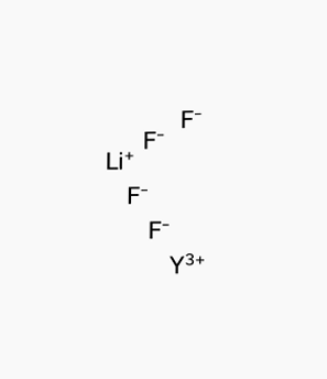 [F-].[F-].[F-].[F-].[Li+].[Y+3]